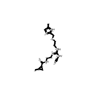 Cc1cnc(CSCCNC(=NCCNC(=O)C2CC2C)NC#N)[nH]1